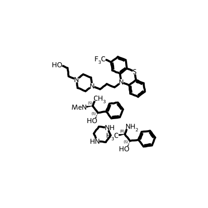 C1CNCCN1.CN[C@@H](C)[C@@H](O)c1ccccc1.C[C@@H](N)[C@@H](O)c1ccccc1.OCCN1CCN(CCCN2c3ccccc3Sc3ccc(C(F)(F)F)cc32)CC1